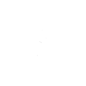 CN(CCl)C(=O)O.Cl